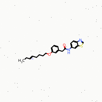 CC/C=C/CCCCOc1cccc(CC(=O)Nc2ccc3ncsc3c2)c1